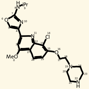 COc1cc(-c2coc(NC(C)C)n2)nc2c(Cl)c(OCCN3CCNCC3)ccc12